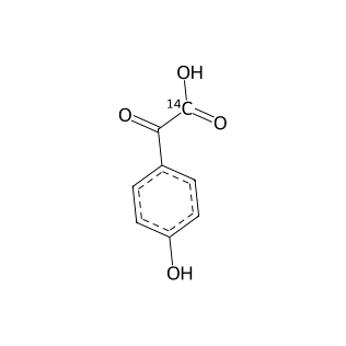 O=C(c1ccc(O)cc1)[14C](=O)O